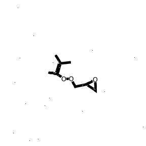 CC(C)=C(C)OOCC1CO1